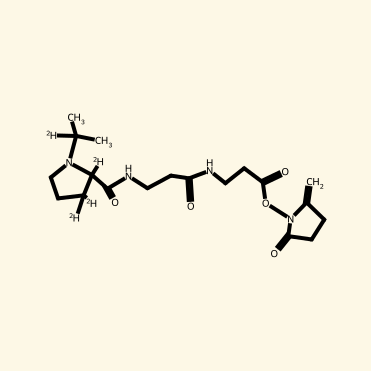 [2H]C(C)(C)N1CCC([2H])([2H])C1([2H])C(=O)NCCC(=O)NCCC(=O)ON1C(=C)CCC1=O